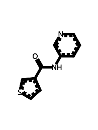 O=C(Nc1cccnc1)c1ccsc1